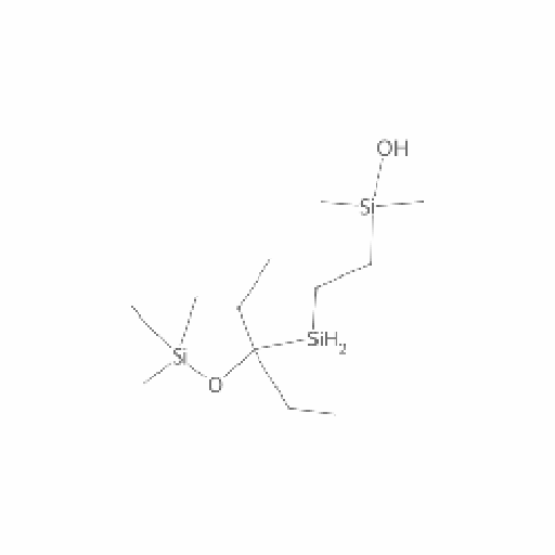 CCC(CC)(O[Si](C)(C)C)[SiH2]CC[Si](C)(C)O